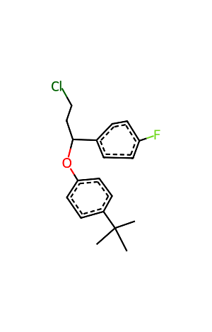 CC(C)(C)c1ccc(OC(CCCl)c2ccc(F)cc2)cc1